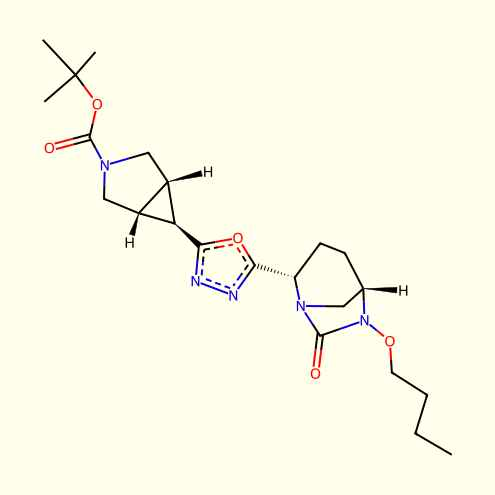 CCCCON1C(=O)N2C[C@@H]1CC[C@H]2c1nnc([C@H]2[C@@H]3CN(C(=O)OC(C)(C)C)C[C@@H]32)o1